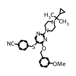 COc1cccc(COc2nc(N3CCN(C(C)(C)C4CC4)CC3)ncc2Sc2ccc(C#N)cc2)c1